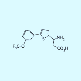 NC(CC(=O)O)c1ccc(-c2cccc(OC(F)(F)F)c2)s1